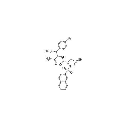 CC(C)c1ccc(C(C(=O)O)C(NC(=O)[C@@H]2C[C@@H](S)CN2S(=O)(=O)c2ccc3ccccc3c2)C(N)=O)cc1